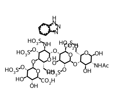 CC(=O)N[C@@H]1[C@@H](O)[C@H](O[C@@H]2O[C@H](C(=O)O)[C@@H](O[C@@H]3O[C@H](CO)[C@@H](O[C@H]4O[C@@H](C(=O)O)[C@H](O)[C@@H](O)[C@@H]4OS(=O)(=O)O)[C@H](OS(=O)(=O)O)[C@H]3NS(=O)(=O)O)[C@H](O)[C@H]2OS(=O)(=O)O)[C@H](COS(=O)(=O)O)O[C@H]1O.c1ccc2[nH]nnc2c1